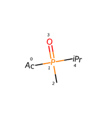 CC(=O)P(C)(=O)C(C)C